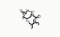 CC(C)N(C)C(=O)N1CCN(C)CC1